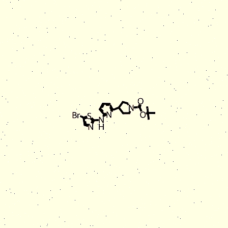 CC(C)(C)OC(=O)N1CCC(c2cccc(Nc3ncc(Br)s3)n2)CC1